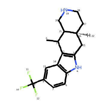 CC1c2c([nH]c3ccc(C(F)(F)F)cc23)C[C@@H]2CCNCC12